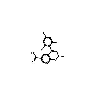 C[C@@H]1C=C(c2c(F)cc(F)cc2F)c2cc(C(=O)O)ccc2O1